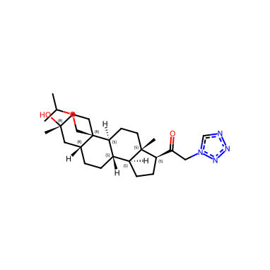 CC(C)OC[C@]12CC[C@@](C)(O)C[C@H]1CC[C@H]1[C@@H]3CC[C@H](C(=O)Cn4cnnn4)[C@@]3(C)CC[C@@H]12